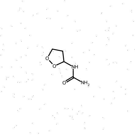 NC(=O)NC1CCOO1